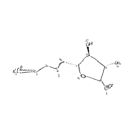 C=CCSC[C@H]1OC(OC)[C@@H](O)[C@@H]1O